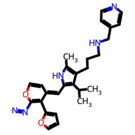 Cc1[nH]c(C=C2C=COC(N=[N])=C2c2ccco2)c(C(C)C)c1CCCNCc1ccncc1